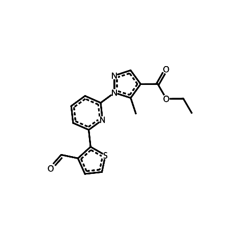 CCOC(=O)c1cnn(-c2cccc(-c3sccc3C=O)n2)c1C